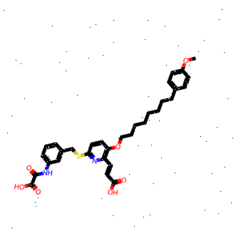 COc1ccc(CCCCCCCCOc2ccc(SCc3cccc(NC(=O)C(=O)O)c3)nc2C=CC(=O)O)cc1